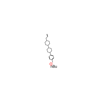 C=CCC1CCC(C2CCC(c3ccc(COCCCC)cc3)CC2)CC1